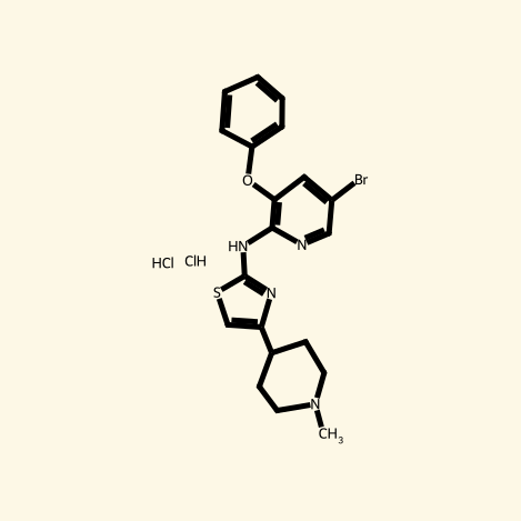 CN1CCC(c2csc(Nc3ncc(Br)cc3Oc3ccccc3)n2)CC1.Cl.Cl